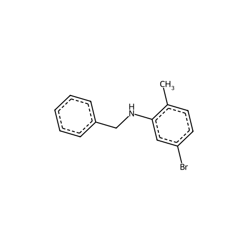 Cc1ccc(Br)cc1NCc1ccccc1